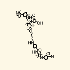 Cc1ncoc1-c1ccc(CNC(=O)[C@@H]2C[C@@H](O)CN2C(=O)[C@@H](NC(=O)COCCCCCNc2ccc(C(=O)N[C@H]3C(C)(C)[C@H](Oc4ccc(C#N)c(Cl)c4)C3(C)C)cc2)C(C)(C)C)cc1